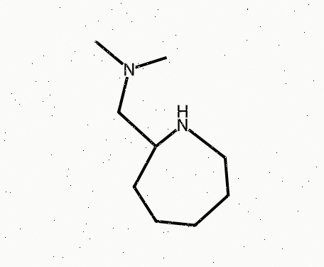 CN(C)CC1CCCCCN1